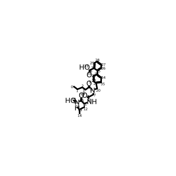 CCCCC(=O)N(CC(=O)N[C@@H](CC(C)C)C(=O)NO)Cc1ccc(-c2ccccc2C(=O)O)cc1